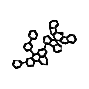 c1ccc(-c2cccc(N(c3cccc(-c4cccc5c4-c4ccccc4C54c5ccc6ccccc6c5Oc5c4ccc4ccccc54)c3)c3cc(-c4ccccc4)ccc3-c3ccccc3)c2)cc1